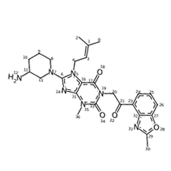 CC(C)=CCn1c(N2CCCC(N)C2)nc2c1c(=O)n(CC(=O)c1cccc3oc(C)nc13)c(=O)n2C